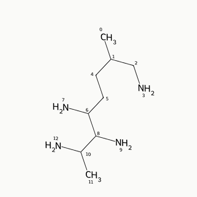 CC(CN)CCC(N)C(N)C(C)N